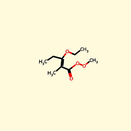 CCOC(CC)=C(C)C(=O)OOC